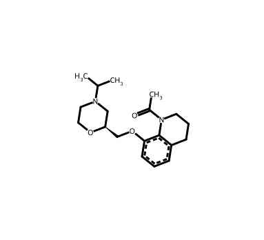 CC(=O)N1CCCc2cccc(OC[C@@H]3CN(C(C)C)CCO3)c21